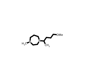 COCCCC(C)N1CCCN(C)CC1